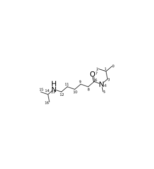 CC(C)CN(C)C(=O)CCCCCNC(C)C